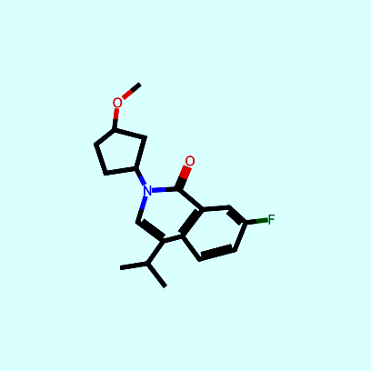 COC1CCC(n2cc(C(C)C)c3ccc(F)cc3c2=O)C1